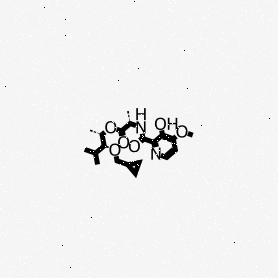 COc1ccnc(C(=O)N[C@@H](C)C(=O)O[C@@H](C)[C@H](OCC2CC2)C(C)C)c1O